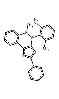 Cc1cccc(C)c1B1N(C)c2ccccc2-c2nc(-c3ccccc3)cn21